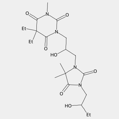 CCC(O)CN1C(=O)N(CC(O)CN2C(=O)N(C)C(=O)C(CC)(CC)C2=O)C(C)(C)C1=O